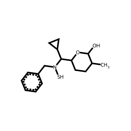 CC1CCC(C(C2CC2)N(S)Cc2ccccc2)OC1O